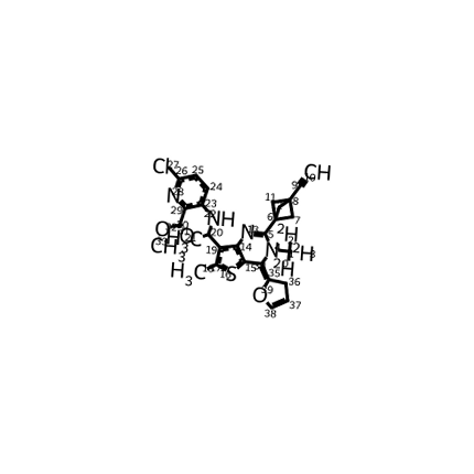 [2H]C([2H])([2H])N1C(C23CC(C#C)(C2)C3)=Nc2c(sc(C)c2C(C)Nc2ccc(Cl)nc2C(=O)OC)C1=C1CC=CO1